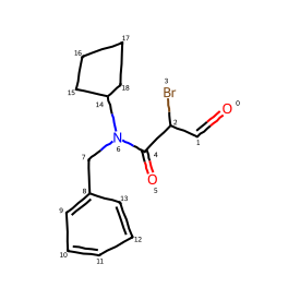 O=CC(Br)C(=O)N(Cc1ccccc1)C1CCCC1